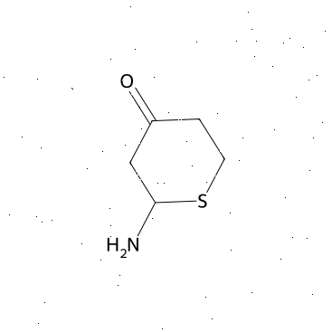 NC1CC(=O)CCS1